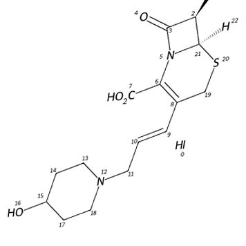 I.N[C@@H]1C(=O)N2C(C(=O)O)=C(C=CCN3CCC(O)CC3)CS[C@H]12